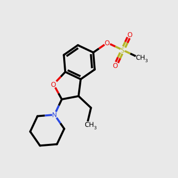 CCC1c2cc(OS(C)(=O)=O)ccc2OC1N1CCCCC1